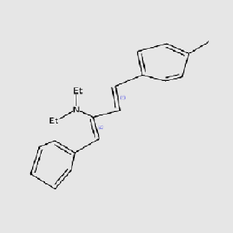 CCN(CC)C(=C\c1ccccc1)/C=C/c1ccc(C)cc1